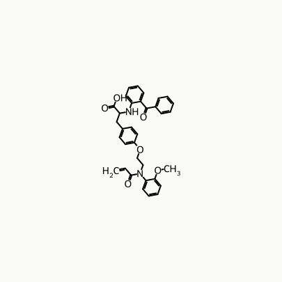 C=CC(=O)N(CCOc1ccc(CC(Nc2ccccc2C(=O)c2ccccc2)C(=O)O)cc1)c1ccccc1OC